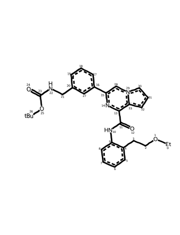 CCOCCc1ccccc1NC(=O)c1nc(-c2cccc(CNC(=O)OC(C)(C)C)c2)cn2cccc12